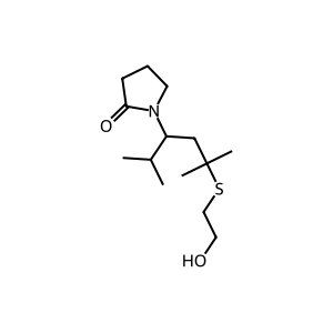 CC(C)C(CC(C)(C)SCCO)N1CCCC1=O